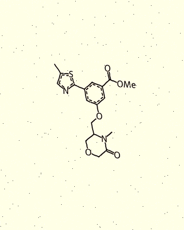 COC(=O)c1cc(OCC2COCC(=O)N2C)cc(-c2ncc(C)s2)c1